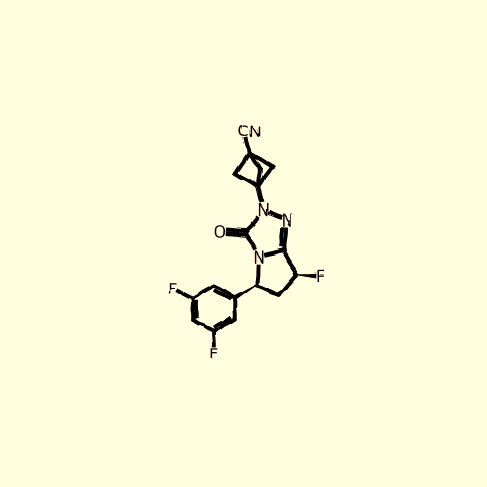 N#CC12CC(n3nc4n(c3=O)[C@H](c3cc(F)cc(F)c3)C[C@@H]4F)(C1)C2